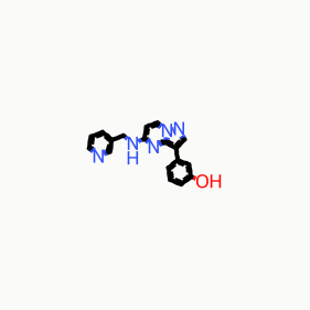 Oc1cccc(-c2cnn3ccc(NCc4cccnc4)nc23)c1